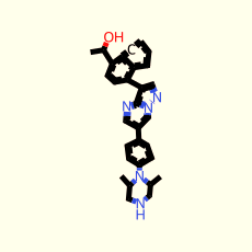 CC(O)c1ccc(-c2cnn3cc(-c4ccc(N5C(C)CNCC5C)cc4)cnc23)c2ccccc12